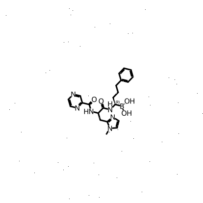 Cn1ccnc1CC(NC(=O)c1cnccn1)C(=O)N[C@@H](CCCc1ccccc1)B(O)O